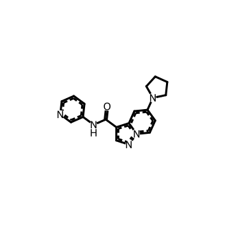 O=C(Nc1cccnc1)c1cnn2ccc(N3CCCC3)cc12